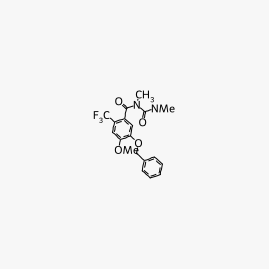 CNC(=O)N(C)C(=O)c1cc(OCc2ccccc2)c(OC)cc1C(F)(F)F